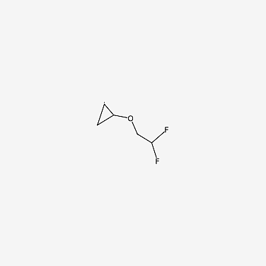 FC(F)COC1[CH]C1